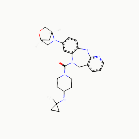 O=C(N1CCC(NC2(C(F)(F)F)CC2)CC1)N1Cc2cccnc2Nc2ccc(N3C[C@@H]4C[C@H]3CO4)cc21